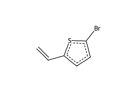 C=Cc1ccc(Br)s1